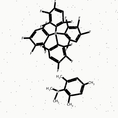 Cc1cc(C)c(N(C)C)c(C)c1.Fc1cc(F)c([B-](c2c(F)cc(F)c(F)c2F)(c2c(F)cc(F)c(F)c2F)c2c(F)cc(F)c(F)c2F)c(F)c1F